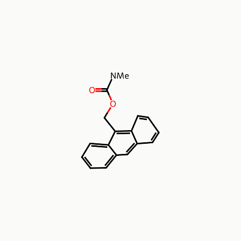 CNC(=O)OCc1c2ccccc2cc2ccccc12